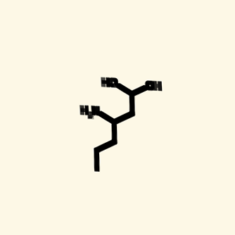 CCCC(N)CC(O)O